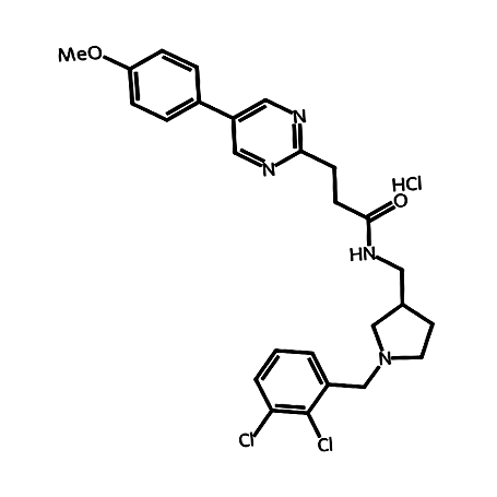 COc1ccc(-c2cnc(CCC(=O)NCC3CCN(Cc4cccc(Cl)c4Cl)C3)nc2)cc1.Cl